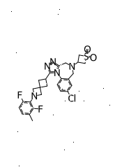 Cc1ccc(F)c(N2CC3(CC(c4nnc5n4-c4ccc(Cl)cc4CN(C4CS(=O)(=O)C4)C5)C3)C2)c1F